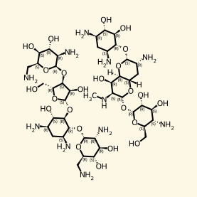 CN[C@@H]1[C@@H](O[C@H]2O[C@H](CO)[C@@H](N)[C@H](O)[C@H]2O)O[C@H]2C[C@@H](N)[C@@H](O[C@H]3[C@H](O)[C@@H](O)[C@H](N)C[C@@H]3N)O[C@@H]2[C@@H]1O.NC[C@@H]1O[C@H](O[C@H]2[C@@H](O)[C@H](O[C@@H]3[C@@H](O)[C@H](N)C[C@H](N)[C@H]3O[C@H]3O[C@H](CN)[C@@H](O)[C@H](O)[C@H]3N)O[C@@H]2CO)[C@H](N)[C@@H](O)[C@@H]1O